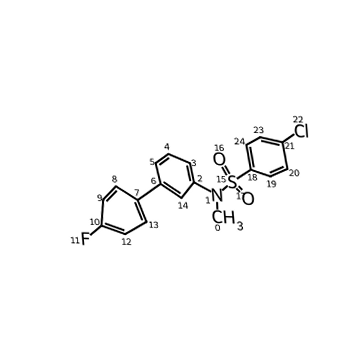 CN(c1cccc(-c2ccc(F)cc2)c1)S(=O)(=O)c1ccc(Cl)cc1